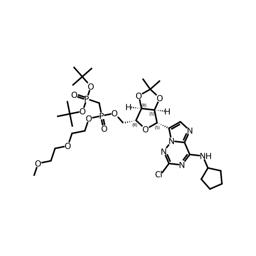 COCCOCCOP(=O)(CP(=O)(OC(C)(C)C)OC(C)(C)C)OC[C@H]1O[C@@H](c2cnc3c(NC4CCCC4)nc(Cl)nn23)[C@@H]2OC(C)(C)O[C@@H]21